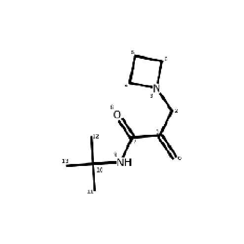 C=C(CN1CCC1)C(=O)NC(C)(C)C